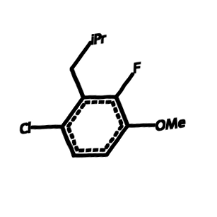 COc1ccc(Cl)c(CC(C)C)c1F